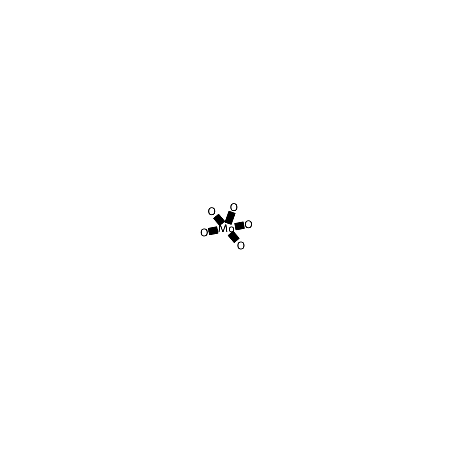 [O]=[Mo](=[O])(=[O])(=[O])=[O]